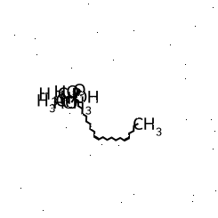 CCCC/C=C\CCCCC/C=C\CCCCCCCCCC(O)(C[N+](C)(C)C)P(=O)(O)O